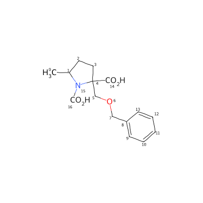 CC1CCC(COCc2ccccc2)(C(=O)O)N1C(=O)O